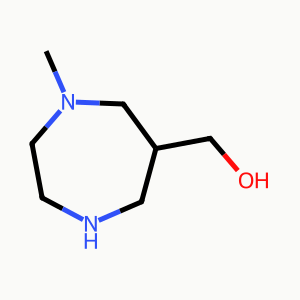 CN1CCNCC(CO)C1